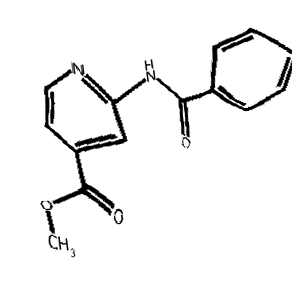 COC(=O)c1ccnc(NC(=O)c2ccccc2)c1